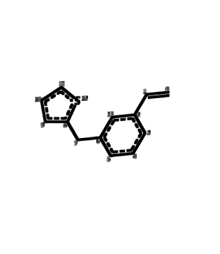 C=Cc1cccc(Cc2cccs2)c1